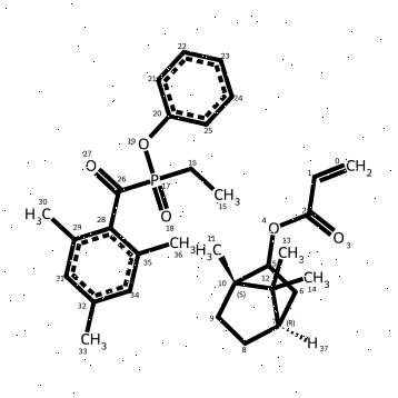 C=CC(=O)OC1C[C@H]2CC[C@@]1(C)C2(C)C.CCP(=O)(Oc1ccccc1)C(=O)c1c(C)cc(C)cc1C